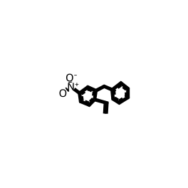 C=Cc1ccc([N+](=O)[O-])cc1Cc1ccccc1